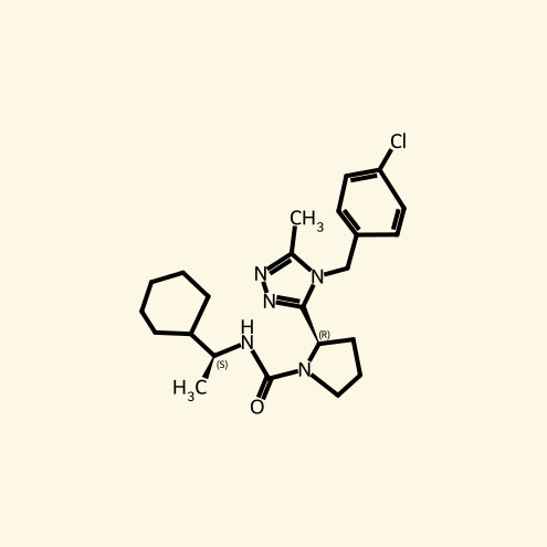 Cc1nnc([C@H]2CCCN2C(=O)N[C@@H](C)C2CCCCC2)n1Cc1ccc(Cl)cc1